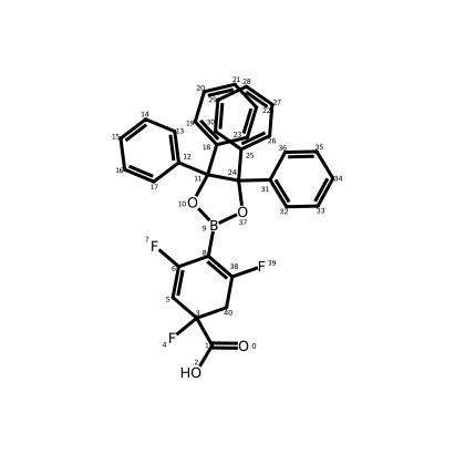 O=C(O)C1(F)C=C(F)C(B2OC(c3ccccc3)(c3ccccc3)C(c3ccccc3)(c3ccccc3)O2)=C(F)C1